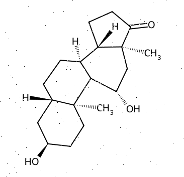 C[C@]12C[C@H](O)C3[C@@H](CC[C@H]4C[C@H](O)CC[C@]34C)[C@@H]1CCC2=O